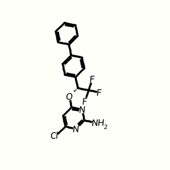 Nc1nc(Cl)cc(O[C@H](c2ccc(-c3ccccc3)cc2)C(F)(F)F)n1